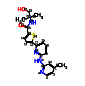 Cc1ccnc(Nc2cccc(-c3ccc(C(=O)NC(C)(C)CO)s3)n2)c1